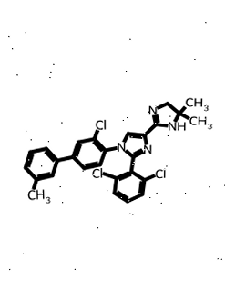 Cc1cccc(-c2ccc(-n3cc(C4=NCC(C)(C)N4)nc3-c3c(Cl)cccc3Cl)c(Cl)c2)c1